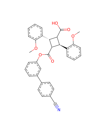 COc1ccccc1[C@@H]1C(C(=O)O)[C@@H](c2ccccc2OC)C1C(=O)Oc1cccc(-c2ccc(C#N)cc2)c1